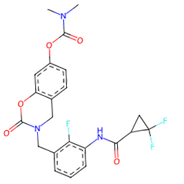 CN(C)C(=O)Oc1ccc2c(c1)OC(=O)N(Cc1cccc(NC(=O)C3CC3(F)F)c1F)C2